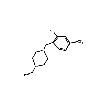 C[C](C)CN1CCN(Cc2ccc(C(F)(F)F)cc2C#N)CC1